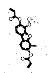 C=CC(=O)Oc1ccc2c(oc3c(OC(F)(F)F)c(OC(=O)C=C)ccc32)c1C